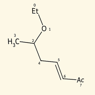 CCOC(C)C/C=C/C(C)=O